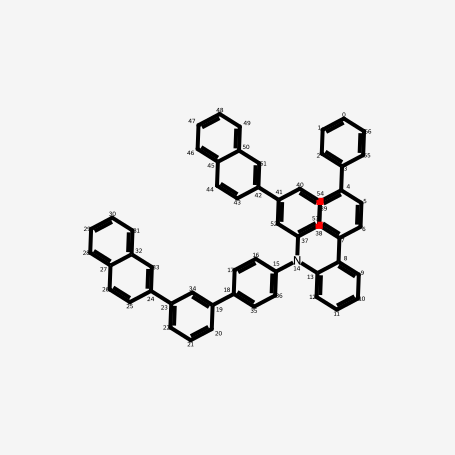 c1ccc(-c2ccc(-c3ccccc3N(c3ccc(-c4cccc(-c5ccc6ccccc6c5)c4)cc3)c3cccc(-c4ccc5ccccc5c4)c3)cc2)cc1